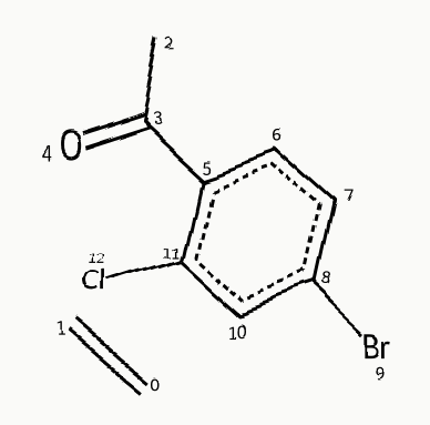 C=C.CC(=O)c1ccc(Br)cc1Cl